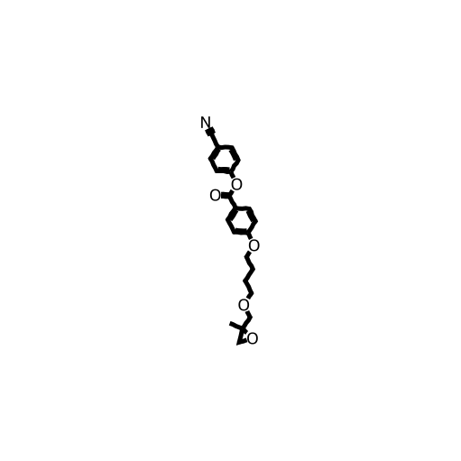 CC1(COCCCCOc2ccc(C(=O)Oc3ccc(C#N)cc3)cc2)CO1